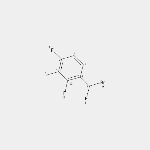 Cc1c(F)ccc(C(F)Br)c1F